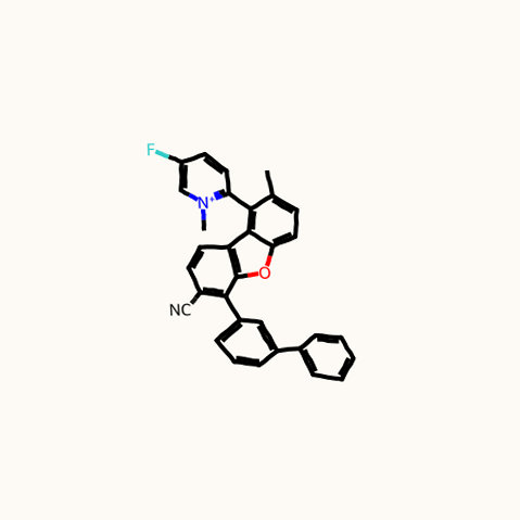 Cc1ccc2oc3c(-c4cccc(-c5ccccc5)c4)c(C#N)ccc3c2c1-c1ccc(F)c[n+]1C